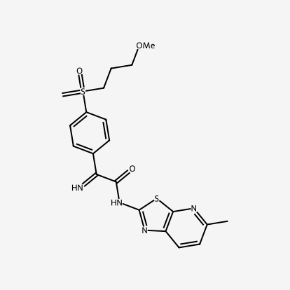 C=S(=O)(CCCOC)c1ccc(C(=N)C(=O)Nc2nc3ccc(C)nc3s2)cc1